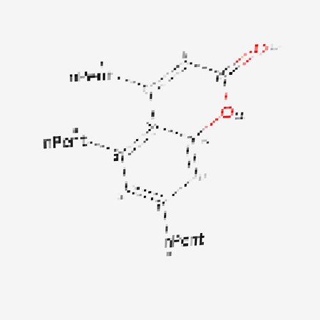 CCCCCc1cc(CCCCC)c2c(CCCCC)cc(=O)oc2c1